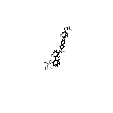 Cc1cnc(N2CC3(CC(Nc4ncnc5c4sc4nnc(C)c(C)c45)C3)C2)nc1